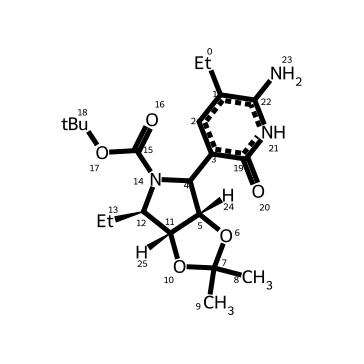 CCc1cc(C2[C@@H]3OC(C)(C)O[C@@H]3[C@@H](CC)N2C(=O)OC(C)(C)C)c(=O)[nH]c1N